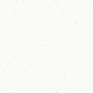 [S]C/C=C/c1ccc(Cl)cc1